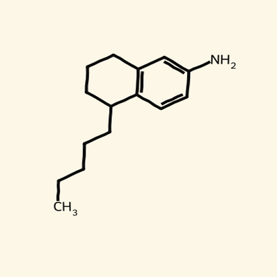 CCCCCC1CCCc2cc(N)ccc21